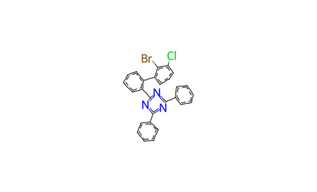 Clc1cccc(-c2ccccc2-c2nc(-c3ccccc3)nc(-c3ccccc3)n2)c1Br